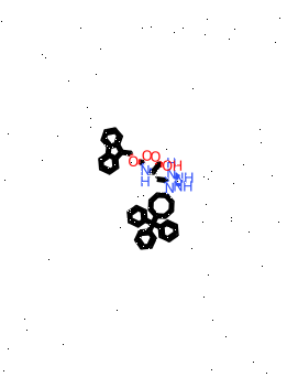 O=C(N[C@@H](CC1NNNN1C1CCCC(C(c2ccccc2)(c2ccccc2)c2ccccc2)CCC1)C(=O)O)OCC1c2ccccc2-c2ccccc21